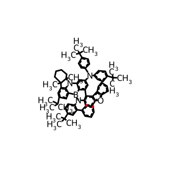 CC(C)(C)c1ccc(N(c2ccc(C(C)(C)C)cc2)c2cc3c4c(c2)N2c5c(cc(C(C)(C)C)cc5C5(C)CCCCC25C)B4N(c2ccc(C(C)(C)C)cc2-c2ccccc2)c2ccc4oc5ccccc5c4c2-3)cc1